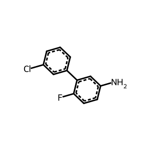 Nc1ccc(F)c(-c2cccc(Cl)c2)c1